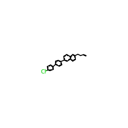 C=CCCc1ccc2cc(-c3ccc(-c4ccc(Cl)cc4)cc3)ccc2c1